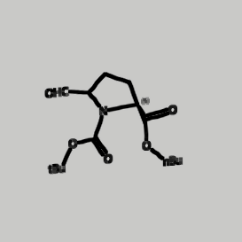 CCCCOC(=O)[C@@H]1CCC(C=O)N1C(=O)OC(C)(C)C